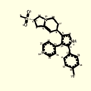 CS(=O)(=O)[C@H]1CC2=CC(c3c[nH]c(-c4ccc(F)cc4)c3-c3ccncc3)CCN2C1